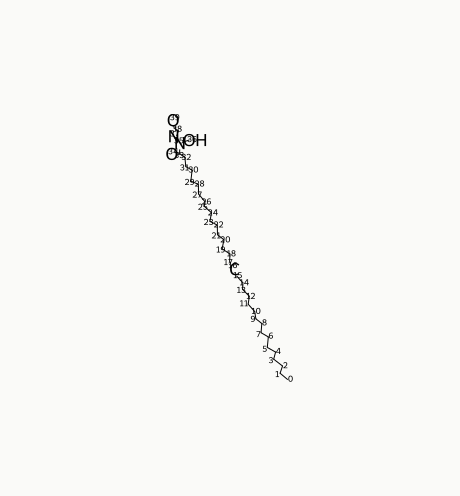 CCCCCCCCCCCCCCCCCCCCCCCCCCCCCCCCCC(=O)N(O)N=C=O